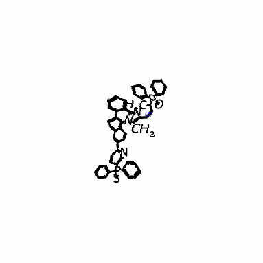 Cc1c(/C=C\C(C)P(=O)(c2ccccc2)c2ccccc2)nc2c3ccccc3c3ccc4cc(-c5ccc(P(=S)(c6ccccc6)c6ccccc6)cn5)ccc4c3n12